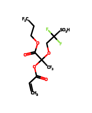 C=CC(=O)OC(OCC(F)(F)S(=O)(=O)O)(C(=O)OCCC(F)(F)F)C(F)(F)F